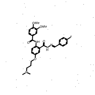 COc1ccc(C(=O)Nc2ccc(OCCCN(C)C)cc2C(=O)N/N=C/c2ccc(F)cc2)cc1OC